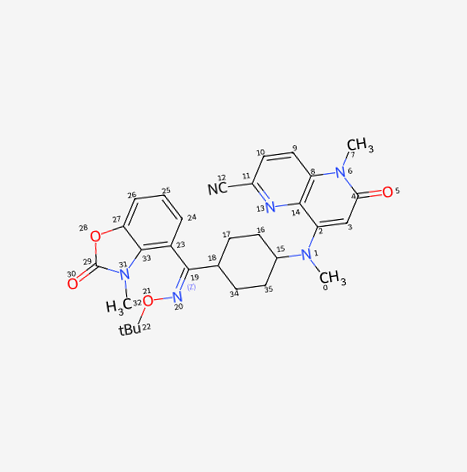 CN(c1cc(=O)n(C)c2ccc(C#N)nc12)C1CCC(/C(=N/OC(C)(C)C)c2cccc3oc(=O)n(C)c23)CC1